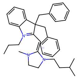 CCC[N+]1=C(/C=C2\N(C)CCN2CCC(C)C)C(Cc2ccccc2)(Cc2ccccc2)c2ccccc21